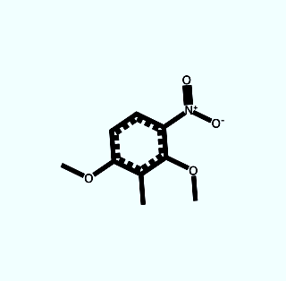 COc1ccc([N+](=O)[O-])c(OC)c1C